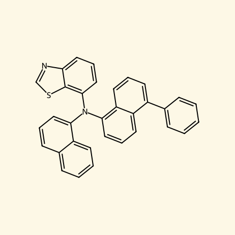 c1ccc(-c2cccc3c(N(c4cccc5ccccc45)c4cccc5ncsc45)cccc23)cc1